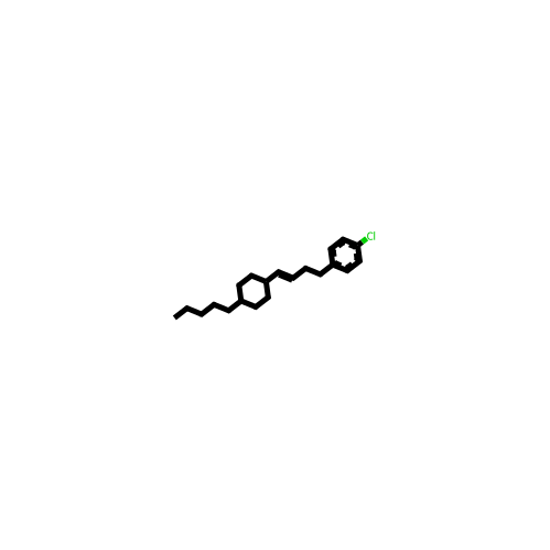 CCCCCC1CCC(C=CCCc2ccc(Cl)cc2)CC1